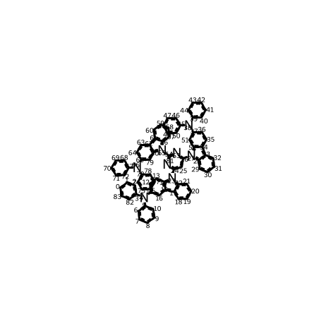 c1ccc(N(c2ccccc2)c2ccc3c(c2)c2ccccc2n3-c2cc(-n3c4ccccc4c4ccc(N(c5ccccc5)c5ccccc5)cc43)nc(-n3c4ccccc4c4ccc(N(c5ccccc5)c5ccccc5)cc43)n2)cc1